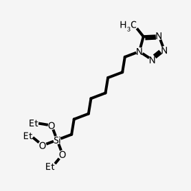 CCO[Si](CCCCCCCCn1nnnc1C)(OCC)OCC